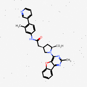 Cc1nc(N2C[C@@H](CC(=O)Nc3ccc(-c4cccnc4)c(C)c3)C[C@H]2C(=O)O)c2oc3ccccc3c2n1